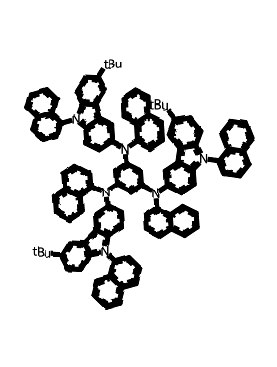 CC(C)(C)c1ccc2c(c1)c1cc(N(c3cc(N(c4ccc5c(c4)c4cc(C(C)(C)C)ccc4n5-c4cccc5ccccc45)c4cccc5ccccc45)cc(N(c4ccc5c(c4)c4cc(C(C)(C)C)ccc4n5-c4cccc5ccccc45)c4cccc5ccccc45)c3)c3cccc4ccccc34)ccc1n2-c1cccc2ccccc12